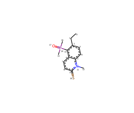 CCc1ccc2c(ccc(=S)n2C)c1P(C)(C)=O